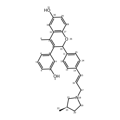 CC1=C(c2cccc(O)c2)C(c2ccc(C=CCN3CC[C@@H](C)C3)cc2)Oc2ccc(O)cc21